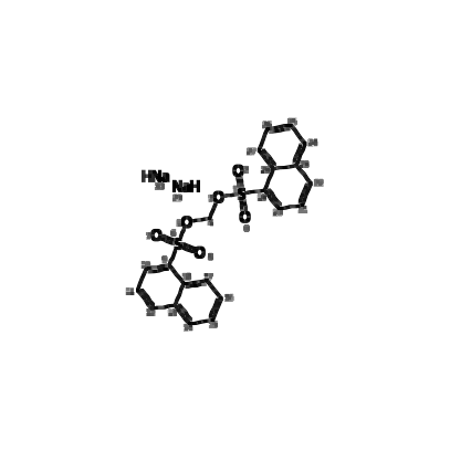 O=S(=O)(OCOS(=O)(=O)c1cccc2ccccc12)c1cccc2ccccc12.[NaH].[NaH]